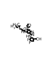 C#Cc1cc(F)c(F)c(Nc2ncnc3cc(OC4CCOC4)c(NC(=O)C=CCN(CC)CC)cc23)c1